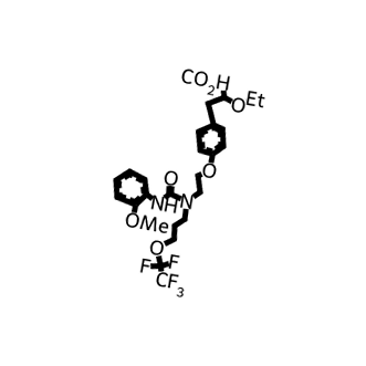 CCOC(Cc1ccc(OCCN(CCCOC(F)(F)C(F)(F)F)C(=O)Nc2ccccc2OC)cc1)C(=O)O